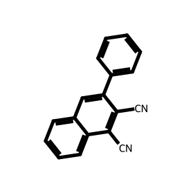 N#Cc1c(-c2ccccc2)cc2ccccc2c1C#N